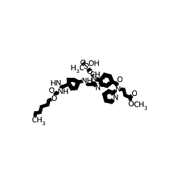 CCCCCCOC(=O)NC(=N)c1ccc(NCc2nc3cc(C(=O)N(CCC(=O)OC)c4ccccn4)ccc3n2C)cc1.CS(=O)(=O)O